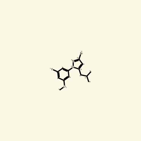 COc1cc(F)cc(-n2nc(Br)cc2CC(C)C)c1